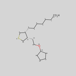 O=C(O)CCCCCC[C@H]1CSC[C@H]1CCOC1CCCC1